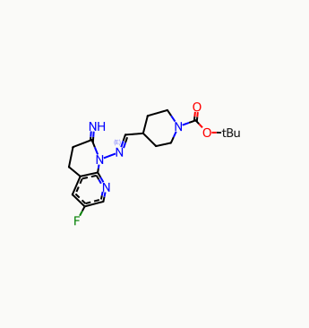 CC(C)(C)OC(=O)N1CCC(/C=N/N2C(=N)CCc3cc(F)cnc32)CC1